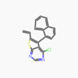 C=Cc1sc2ncnc(Cl)c2c1-c1cccc2ccccc12